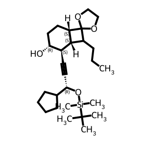 CCCC1[C@@H]2[C@@H](C#C[C@H](O[Si](C)(C)C(C)(C)C)C3CCCC3)[C@H](O)CC[C@@H]2C12OCCO2